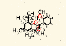 COc1ccccc1C(=O)Oc1c(C(C)(C)C)cc(C)cc1C(C)(C)C